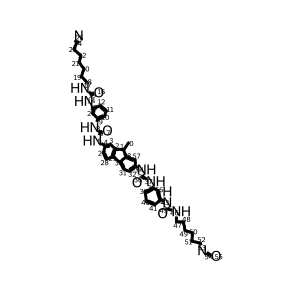 CC1c2cc(NC(=O)Nc3cccc(NC(=O)NCCCCCCC#N)c3)ccc2-c2ccc(NC(=O)Nc3cccc(NC(=O)NCCCCCCN=C=O)c3)cc21